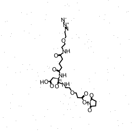 [N-]=[N+]=NCCOCCNC(=O)CCCC(=O)N[C@H](CC(=O)O)C(=O)NCCOCCC(=O)ON1C(=O)CCC1=O